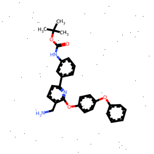 CC(C)(C)OC(=O)Nc1cccc(-c2ccc(CN)c(Oc3ccc(Oc4ccccc4)cc3)n2)c1